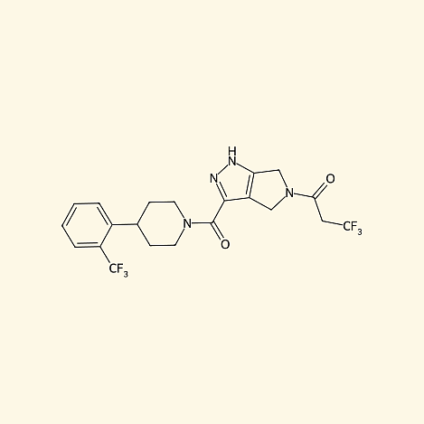 O=C(CC(F)(F)F)N1Cc2[nH]nc(C(=O)N3CCC(c4ccccc4C(F)(F)F)CC3)c2C1